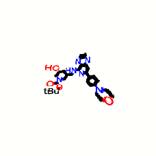 CC(C)(C)OC(=O)N1CC(O)CC(CNc2nc(-c3ccc(N4CCOCC4)cc3)cc3nccnc23)C1